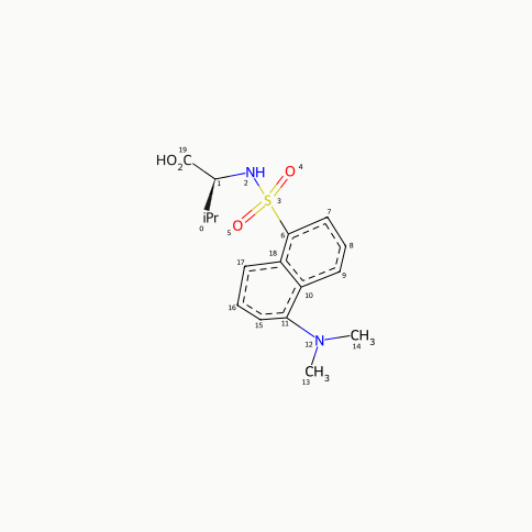 CC(C)[C@H](NS(=O)(=O)c1cccc2c(N(C)C)cccc12)C(=O)O